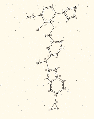 COc1ccc(-n2cnnn2)c(CNc2cc(C(O)c3cn4cc(C5CC5)ccc4n3)ncn2)c1F